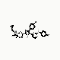 CC1(C(=O)NCC2CC2)COC(c2nc(-c3ccc(F)cc3)c(-c3ccnc(Nc4ccc(F)cc4)n3)[nH]2)OC1